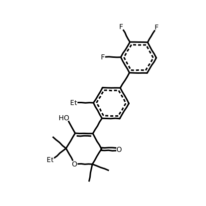 CCc1cc(-c2ccc(F)c(F)c2F)ccc1C1=C(O)C(C)(CC)OC(C)(C)C1=O